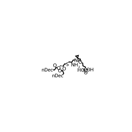 CCCCCCCCCCCC(=O)OC[C@@H](CSC[C@H](N)CNC1(COCCCP(=O)(O)O)CC1)OC(=O)CCCCCCCCCCC